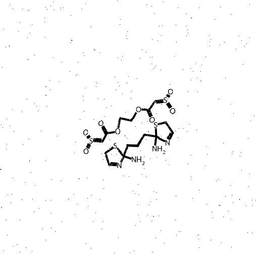 NC1(CCCC2(N)N=CCS2)N=CCS1.O=C(C=S(=O)=O)OCCOC(=O)C=S(=O)=O